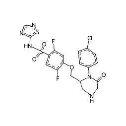 O=C1CNCC(COc2cc(F)c(S(=O)(=O)Nc3ncns3)cc2F)N1c1ccc(Cl)cc1